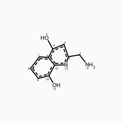 NCc1cc(O)c2cccc(O)c2n1